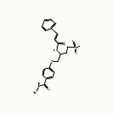 CS(=O)(=O)CCC(COc1ccc(C(=O)NO)cc1)NC(=O)/C=C/c1ccccc1